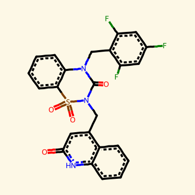 O=C1N(Cc2c(F)cc(F)cc2F)c2ccccc2S(=O)(=O)N1Cc1cc(=O)[nH]c2ccccc12